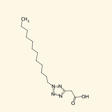 CCCCCCCCCCCCn1nnc(CC(=O)O)n1